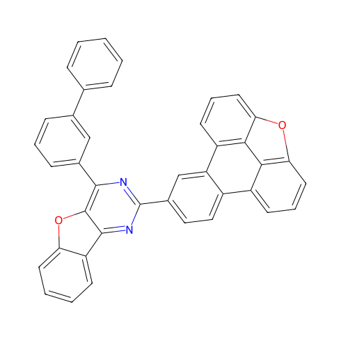 c1ccc(-c2cccc(-c3nc(-c4ccc5c(c4)c4cccc6oc7cccc5c7c64)nc4c3oc3ccccc34)c2)cc1